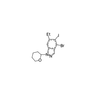 CCc1cc2c(cnn2C2CCCCO2)c(Br)c1I